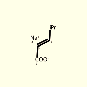 CC(C)C=CC(=O)[O-].[Na+]